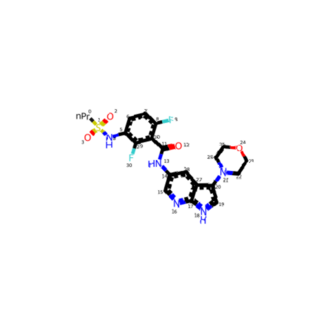 CCCS(=O)(=O)Nc1ccc(F)c(C(=O)Nc2cnc3[nH]cc(N4CCOCC4)c3c2)c1F